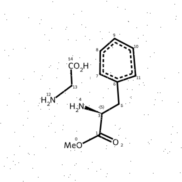 COC(=O)[C@@H](N)Cc1ccccc1.NCC(=O)O